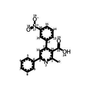 Cc1nc(-c2ccccc2)cc(-c2cccc([N+](=O)[O-])c2)c1C(=O)O